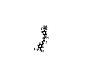 NS(=O)(=O)c1ccc(NOC(=O)/C=C/c2ccc(O)c(O)c2)cc1